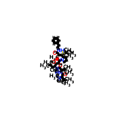 CCC(C)C(C(CC(=O)N1CCCC1C(SC(C)(C)C)C(C)C(=O)NCCc1ccccc1)OC)N(C)C(=O)C(NC(=O)C(C(C)C)N(C)C)C(C)C